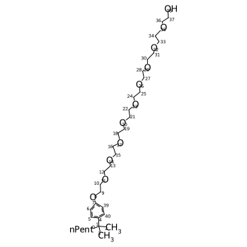 CCCCCC(C)(C)c1ccc(OCCOCCOCCOCCOCCOCCOCCOCCOCCOCCO)cc1